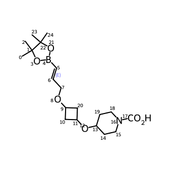 CC1(C)OB(/C=C/COC2CC(OC3CCN(C(=O)O)CC3)C2)OC1(C)C